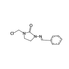 O=C1N(CCl)CCN1/N=C/c1ccccc1